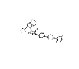 Cc1ccnc(N2CCN(c3ccc(NC(=O)C(=O)c4c(C5CCCC5)cc5n4CCCC5)cc3)CC2)c1